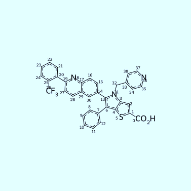 O=C(O)c1cc2c(s1)c(-c1ccccc1)c(-c1ccc3nc(-c4ccccc4C(F)(F)F)ccc3c1)n2Cc1ccncc1